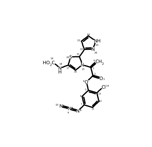 C=C(C(=O)Oc1cc(N=[N+]=[N-])ccc1Cl)N1C=C(NC(=O)O)SC1c1cc[nH]n1